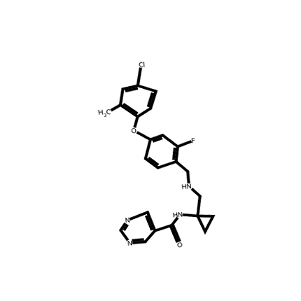 Cc1cc(Cl)ccc1Oc1ccc(CNCC2(NC(=O)c3cncnc3)CC2)c(F)c1